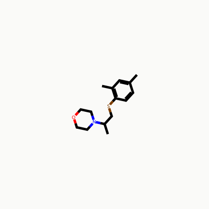 Cc1ccc(SCC(C)N2CCOCC2)c(C)c1